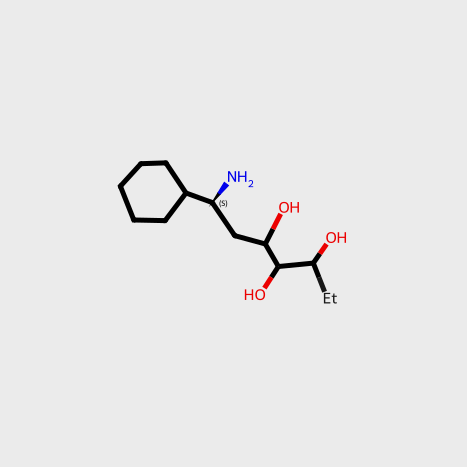 CCC(O)C(O)C(O)C[C@H](N)C1CCCCC1